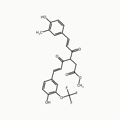 COC(=O)CC(C(=O)/C=C/c1ccc(O)c(C)c1)C(=O)/C=C/c1ccc(O)c(OC(F)(F)F)c1